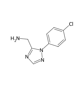 NCc1ncnn1-c1ccc(Cl)cc1